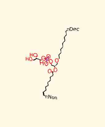 CCCCCCCCC/C=C\CCCCCCCC(=O)O[C@H](COCCCCCCCCCCCCCCCCCCCC)COP(=O)(O)OC[C@@H](O)CO